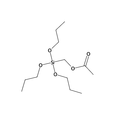 CCCO[Si](COC(C)=O)(OCCC)OCCC